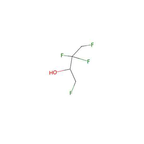 OC(CF)C(F)(F)CF